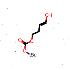 CC(C)(C)OC(=O)OCCC=CO